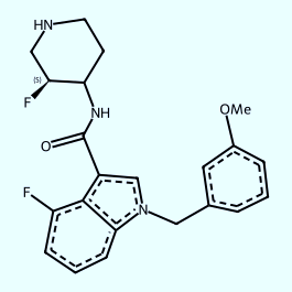 COc1cccc(Cn2cc(C(=O)NC3CCNC[C@@H]3F)c3c(F)cccc32)c1